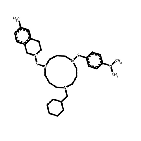 Cc1ccc2c(c1)CCN(SN1CCCN(CC3CCCCC3)CCCN(Sc3ccc(N(C)C)cc3)CCC1)C2